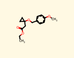 CCOC(=O)CC1(OCc2ccc(OC)cc2)CC1